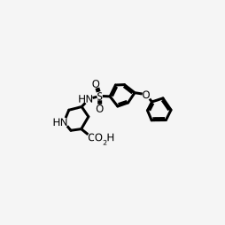 O=C(O)C1CNCC(NS(=O)(=O)c2ccc(Oc3ccccc3)cc2)C1